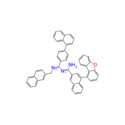 N/C(=N\C(=N/Cc1ccc2ccccc2c1)c1ccc(-c2cccc3ccccc23)cc1)c1cc(-c2cccc3oc4ccccc4c23)c2ccccc2c1